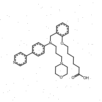 O=C(O)CCCCCOc1ccccc1CN(CCCN1CCOCC1)c1ccc(-c2ccncc2)cc1